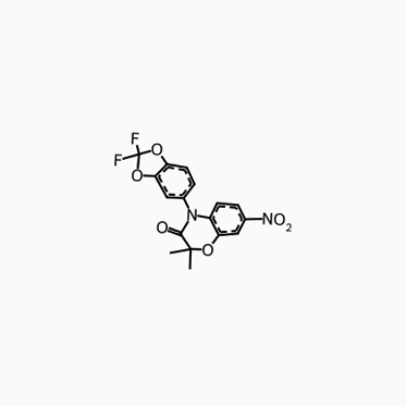 CC1(C)Oc2cc([N+](=O)[O-])ccc2N(c2ccc3c(c2)OC(F)(F)O3)C1=O